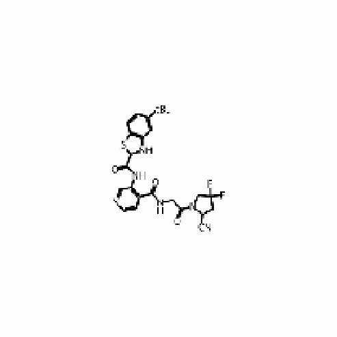 CC(C)(C)c1ccc2c(c1)NC(C(=O)Nc1cnccc1C(=O)NCC(=O)N1CC(F)(F)CC1C#N)S2